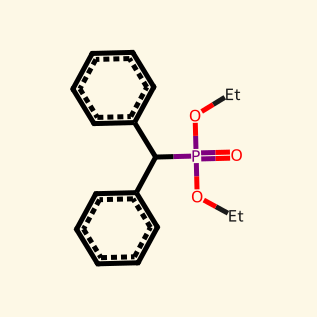 CCOP(=O)(OCC)C(c1ccccc1)c1ccccc1